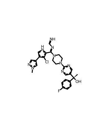 Cn1cc(-c2c[nH]c(/C(=N\C=N)N3CCN(c4ncc([C@](C)(O)c5ccc(F)cc5)cn4)CC3)c2Cl)cn1